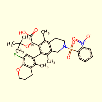 Cc1c(-c2c(C)c3c(c(C)c2[C@@H](OC(C)(C)C)C(=O)O)CCN(S(=O)(=O)c2ccccc2[N+](=O)[O-])C3)cc(F)c2c1CCCO2